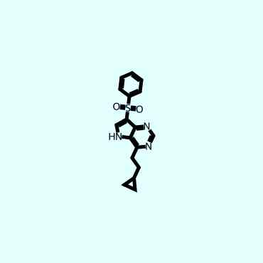 O=S(=O)(c1ccccc1)c1c[nH]c2c(CCC3CC3)ncnc12